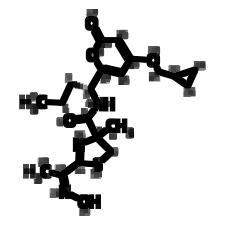 CCC[C@@H](NC(=O)C1(C)CSC(/C(C)=N\O)=N1)c1cc(OCC2CC2)cc(=O)o1